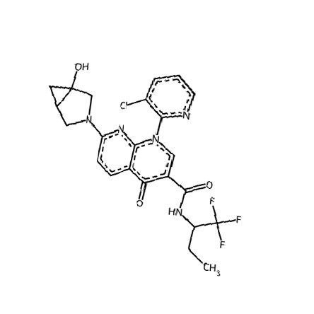 CCC(NC(=O)c1cn(-c2ncccc2Cl)c2nc(N3CC4CC4(O)C3)ccc2c1=O)C(F)(F)F